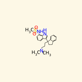 CN(C)CCCC1(c2c[nH]c3c(NS(C)(=O)=O)cccc23)CCc2ccccc21